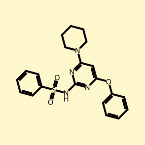 O=S(=O)(Nc1nc(Oc2ccccc2)cc(N2CCCCC2)n1)c1ccccc1